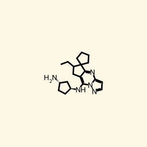 CCC1Cc2c(nc3ccnn3c2N[C@H]2CC[C@H](N)C2)C12CCCC2